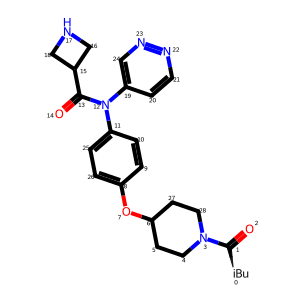 CC[C@H](C)C(=O)N1CCC(Oc2ccc(N(C(=O)C3CNC3)c3ccnnc3)cc2)CC1